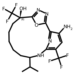 CC(C)C1CCCCC[C@](O)(C(F)(F)F)c2nnc(o2)-c2nc(c(C(F)(F)F)cc2N)N1